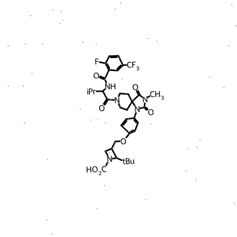 CC(C)C(NC(=O)c1cc(C(F)(F)F)ccc1F)C(=O)N1CCC2(CC1)C(=O)N(C)C(=O)N2c1ccc(OCC2CN(C(=O)O)C2C(C)(C)C)cc1